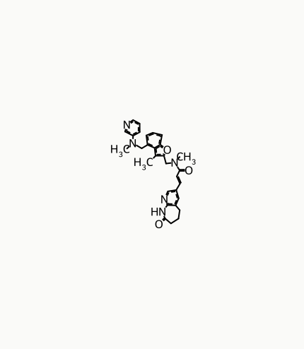 Cc1c(CN(C)C(=O)/C=C/c2cnc3c(c2)CCCC(=O)N3)oc2cccc(CN(C)c3cccnc3)c12